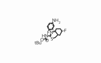 CC(C)(C)OC(=O)NC1=N[C@@]2(c3cc(N)ccc3F)CC[C@H](F)CC2CS1